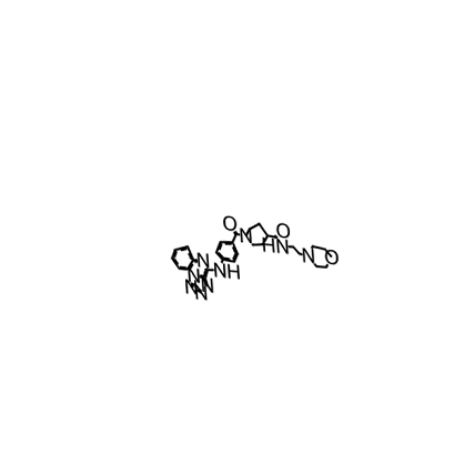 O=C(NCCN1CCOCC1)C1CCN(C(=O)c2ccc(Nc3nc4ccccc4n4nnnc34)cc2)CC1